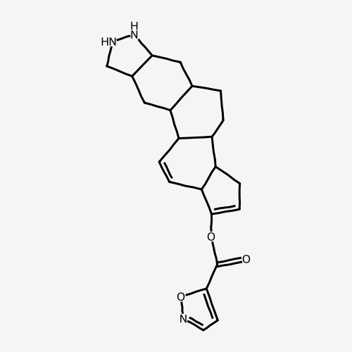 O=C(OC1=CCC2C1C=CC1C3CC4CNNC4CC3CCC12)c1ccno1